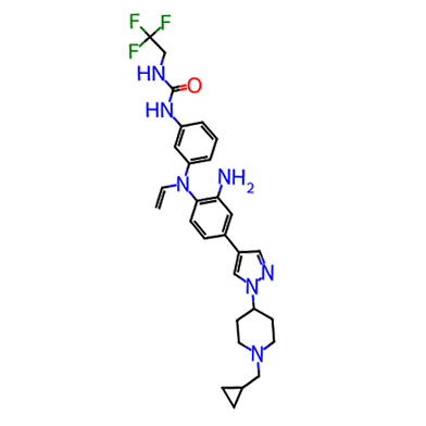 C=CN(c1cccc(NC(=O)NCC(F)(F)F)c1)c1ccc(-c2cnn(C3CCN(CC4CC4)CC3)c2)cc1N